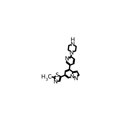 Cc1ncc(-c2cc(-c3ccc(N4CCNCC4)nc3)c3ccnn3c2)s1